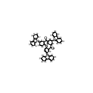 O=c1c2cc(-n3c4c(c5ccccc53)CCC=C4)ccc2n2c3ccc(-n4c5ccccc5c5ccccc54)cc3c(=O)c3cc(-n4c5ccccc5c5ccccc54)cc1c32